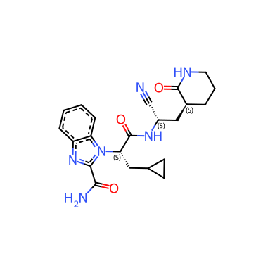 N#C[C@H](C[C@@H]1CCCNC1=O)NC(=O)[C@H](CC1CC1)n1c(C(N)=O)nc2ccccc21